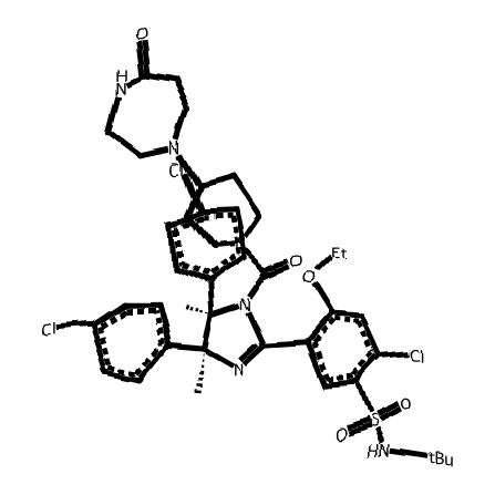 CCOc1cc(Cl)c(S(=O)(=O)NC(C)(C)C)cc1C1=N[C@@](C)(c2ccc(Cl)cc2)[C@@](C)(c2ccc(Cl)cc2)N1C(=O)N1CCC(N2CCNC(=O)CC2)CC1